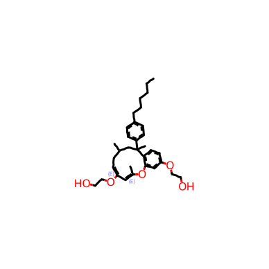 CCCCCCc1ccc(C2(C)CC(C)C/C=C(OCCO)\C=C(/C)Oc3cc(OCCO)ccc32)cc1